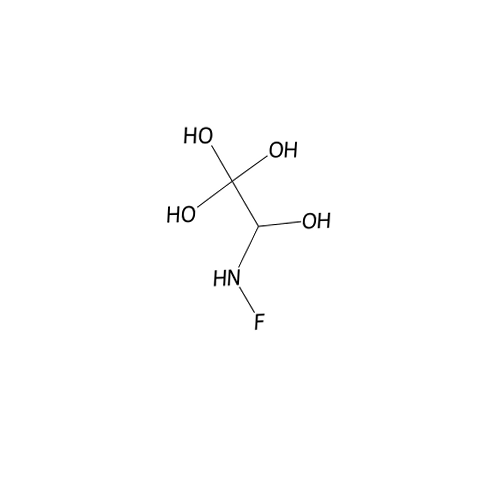 OC(NF)C(O)(O)O